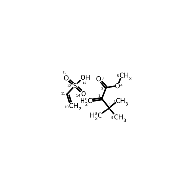 C=C(C(=O)OC)C(C)(C)C.C=CS(=O)(=O)O